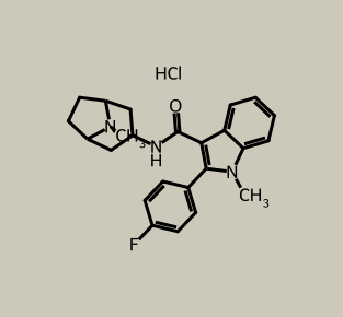 CN1C2CCC1CC(NC(=O)c1c(-c3ccc(F)cc3)n(C)c3ccccc13)C2.Cl